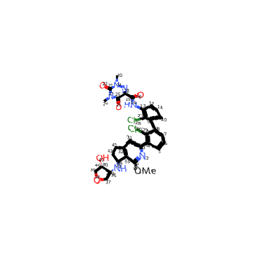 COc1nc(-c2cccc(-c3cccc(NC(=O)c4nn(C)c(=O)n(C)c4=O)c3Cl)c2Cl)cc2c1C(N[C@@H]1COC[C@@H]1O)CC2